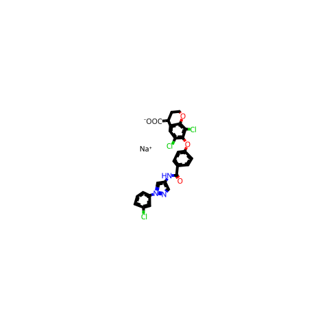 O=C(Nc1cnn(-c2cccc(Cl)c2)c1)c1ccc(Oc2c(Cl)cc3c(c2Cl)OCCC3C(=O)[O-])cc1.[Na+]